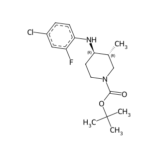 C[C@@H]1CN(C(=O)OC(C)(C)C)CC[C@H]1Nc1ccc(Cl)cc1F